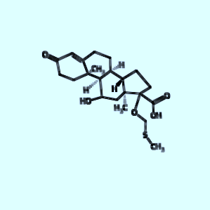 CSCOC1(C(=O)O)CC[C@H]2[C@@H]3CCC4=CC(=O)CC[C@]4(C)[C@@H]3C(O)C[C@@]21C